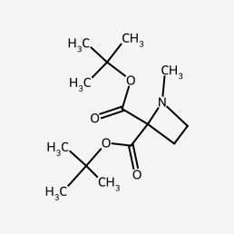 CN1CCC1(C(=O)OC(C)(C)C)C(=O)OC(C)(C)C